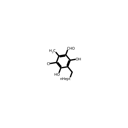 CCCCCCCCc1c(O)c(Cl)c(C)c(C=O)c1O